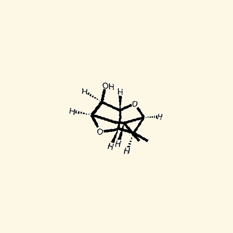 C[C@@H]1[C@@H]2O[C@H]3[C@H](O)[C@H](O[C@@H]13)[C@H]2C